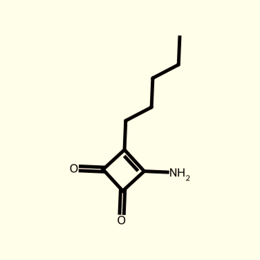 CCCCCc1c(N)c(=O)c1=O